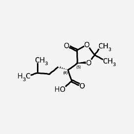 CC(C)CC[C@@H](C(=O)O)[C@@H]1OC(C)(C)OC1=O